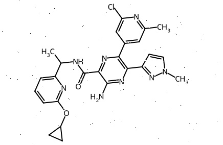 Cc1cc(-c2nc(C(=O)NC(C)c3cccc(OC4CC4)n3)c(N)nc2-c2ccn(C)n2)cc(Cl)n1